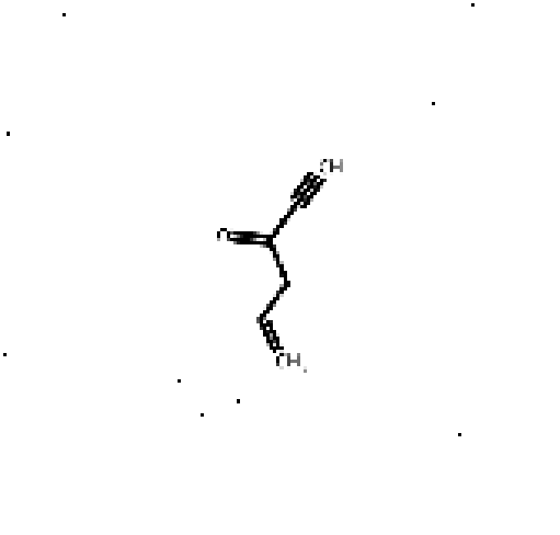 C#CC(=O)CC=C